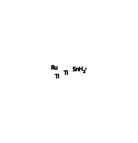 [Ru].[SnH2].[Ti].[Ti]